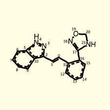 C(=Cc1n[nH]c2ccccc12)c1ccccc1C1=NOCN1